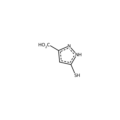 O=C(O)c1cc(S)[nH]n1